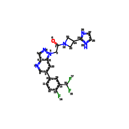 O=C(Cn1ncc2ncc(-c3ccc(F)c(C(F)F)c3)cc21)N1CC(c2ncc[nH]2)C1